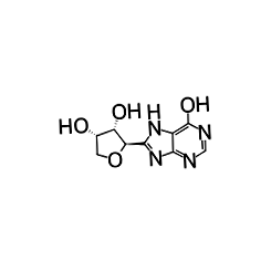 Oc1ncnc2nc([C@H]3OC[C@H](O)[C@@H]3O)[nH]c12